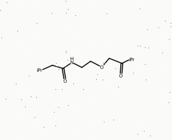 CC(C)CC(=O)NCCOCC(=O)C(C)C